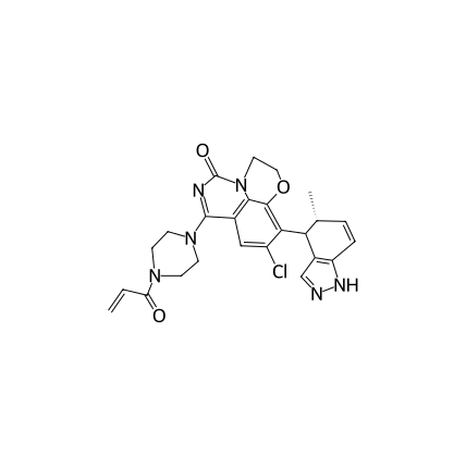 C=CC(=O)N1CCN(c2nc(=O)n3c4c(c(C5c6cn[nH]c6C=C[C@H]5C)c(Cl)cc24)OCC3)CC1